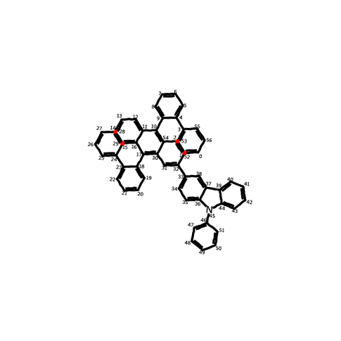 c1ccc(-c2ccccc2-c2c3ccccc3c(-c3ccccc3-c3ccccc3)c3cc(-c4ccc5c(c4)c4ccccc4n5-c4ccccc4)ccc23)cc1